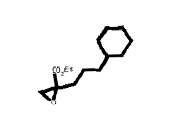 CCOC(=O)C1(CCCC2CCCCC2)CO1